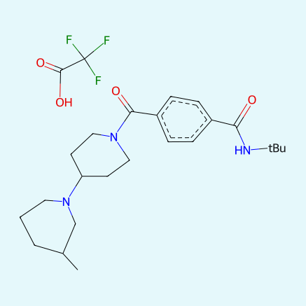 CC1CCCN(C2CCN(C(=O)c3ccc(C(=O)NC(C)(C)C)cc3)CC2)C1.O=C(O)C(F)(F)F